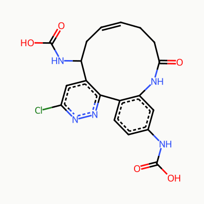 O=C(O)Nc1ccc2c(c1)NC(=O)CC/C=C\CC(NC(=O)O)c1cc(Cl)nnc1-2